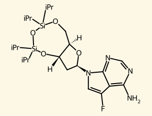 CC(C)[Si]1(C(C)C)OC[C@H]2O[C@@H](n3cc(F)c4c(N)ncnc43)C[C@@H]2O[Si](C(C)C)(C(C)C)O1